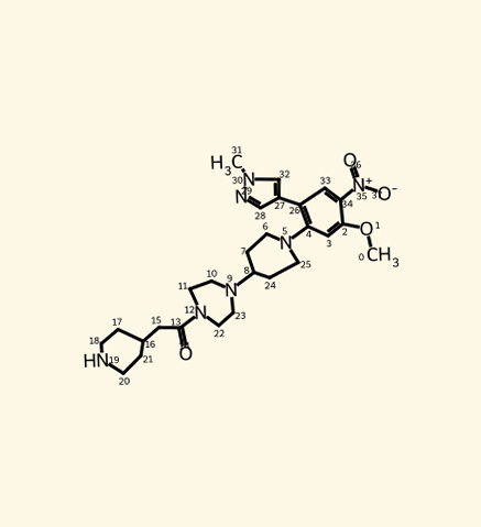 COc1cc(N2CCC(N3CCN(C(=O)CC4CCNCC4)CC3)CC2)c(-c2cnn(C)c2)cc1[N+](=O)[O-]